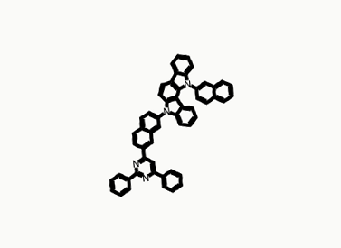 c1ccc(-c2cc(-c3ccc4ccc(-n5c6ccccc6c6c5ccc5c7ccccc7n(-c7ccc8ccccc8c7)c56)cc4c3)nc(-c3ccccc3)n2)cc1